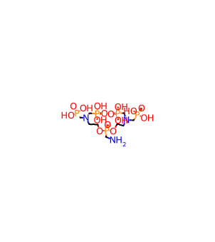 NCP(=O)(OCCN(CP(=O)(O)O)CP(=O)(O)O)OCCN(CP(=O)(O)O)CP(=O)(O)O